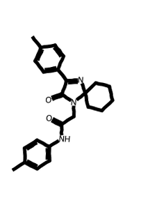 Cc1ccc(NC(=O)CN2C(=O)C(c3ccc(C)cc3)=NC23CCCCC3)cc1